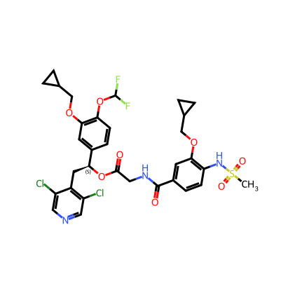 CS(=O)(=O)Nc1ccc(C(=O)NCC(=O)O[C@@H](Cc2c(Cl)cncc2Cl)c2ccc(OC(F)F)c(OCC3CC3)c2)cc1OCC1CC1